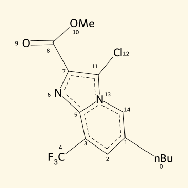 CCCCc1cc(C(F)(F)F)c2nc(C(=O)OC)c(Cl)n2c1